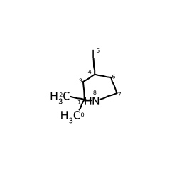 CC1(C)CC(I)CCN1